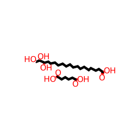 O=C(O)CCCCC(=O)O.O=C(O)CCCCCCCCCCCCCCCC(O)C(O)CO